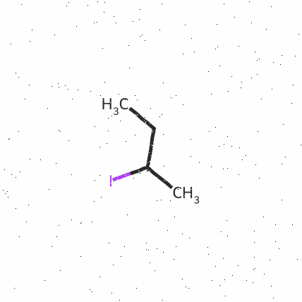 CC[C](C)I